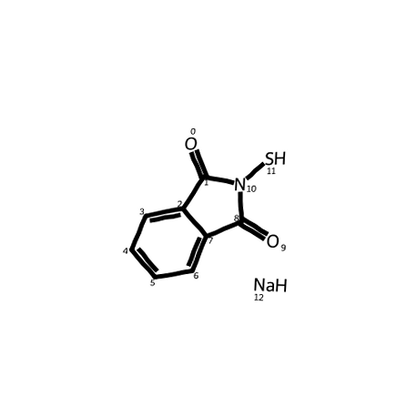 O=C1c2ccccc2C(=O)N1S.[NaH]